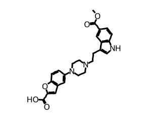 COC(=O)c1ccc2[nH]cc(CCN3CCN(c4ccc5oc(C(=O)O)cc5c4)CC3)c2c1